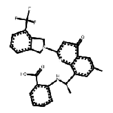 Cc1cc([C@@H](C)Nc2ccccc2C(=O)O)c2oc(N3Cc4cccc(C(F)(F)F)c4C3)cc(=O)c2c1